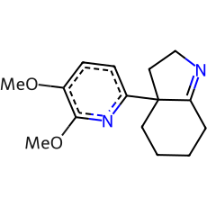 COc1ccc(C23CCCCC2=NCC3)nc1OC